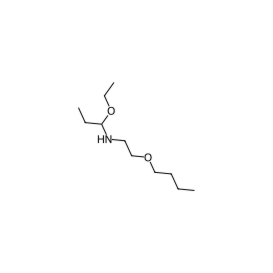 CCCCOCCNC(CC)OCC